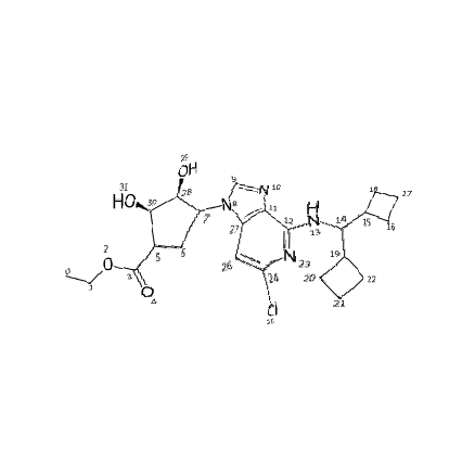 CCOC(=O)C1CC(n2cnc3c(NC(C4CCC4)C4CCC4)nc(Cl)cc32)[C@H](O)[C@@H]1O